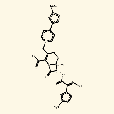 CNc1nc(-c2cc[n+](CC3=C(C(=O)Cl)N4C(=O)[C@@H](NC(=O)C(=NO)c5csc(N)n5)[C@@H]4SC3)cc2)cs1